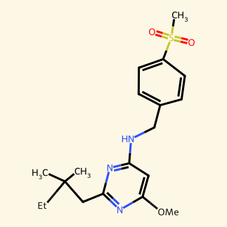 CCC(C)(C)Cc1nc(NCc2ccc(S(C)(=O)=O)cc2)cc(OC)n1